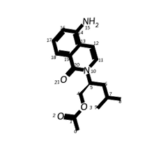 CC(=O)OC[C@H](CC(C)C)n1ccc2c(N)cccc2c1=O